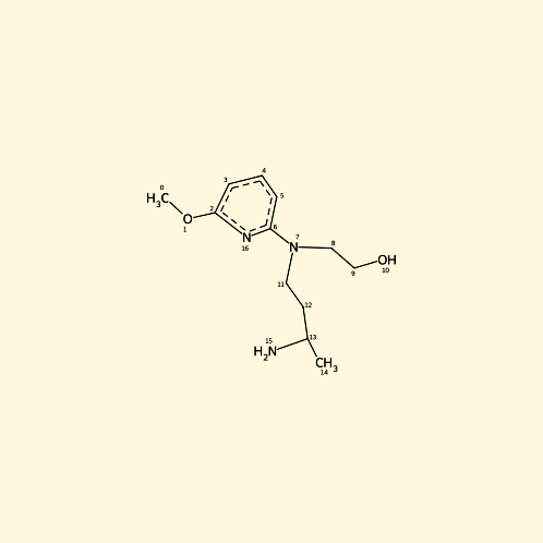 COc1cccc(N(CCO)CCC(C)N)n1